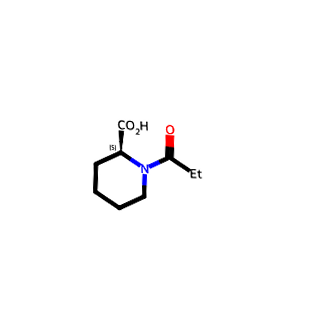 CCC(=O)N1CCCC[C@H]1C(=O)O